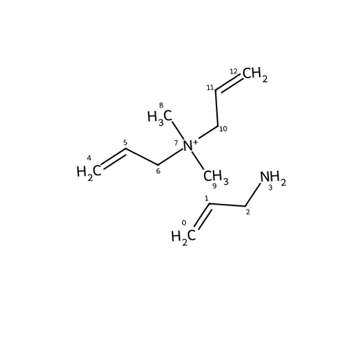 C=CCN.C=CC[N+](C)(C)CC=C